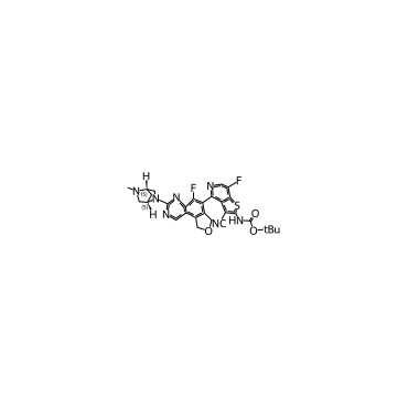 CN1C[C@@H]2C[C@H]1CN2c1ncc2c3c(c(-c4ncc(F)c5sc(NC(=O)OC(C)(C)C)c(C#N)c45)c(F)c2n1)COC3